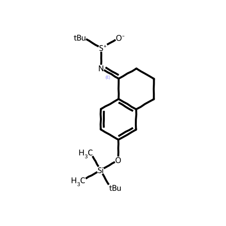 CC(C)(C)[S+]([O-])/N=C1\CCCc2cc(O[Si](C)(C)C(C)(C)C)ccc21